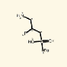 CCCCP(=O)(O)CC(F)CN